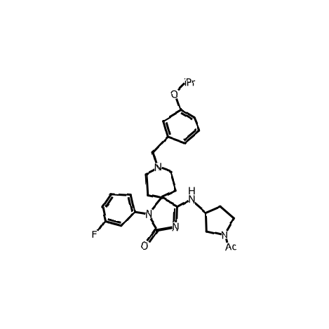 CC(=O)N1CCC(NC2=NC(=O)N(c3cccc(F)c3)C23CCN(Cc2cccc(OC(C)C)c2)CC3)C1